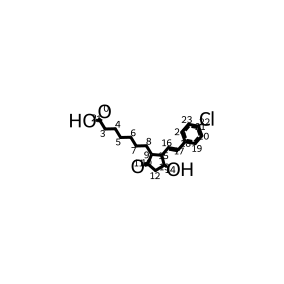 O=C(O)CCCCCCC1C(=O)CC(O)C1C=Cc1ccc(Cl)cc1